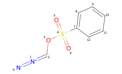 [N-]=[N+]=COS(=O)(=O)c1ccccc1